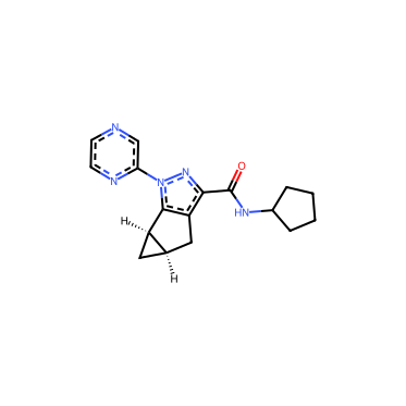 O=C(NC1CCCC1)c1nn(-c2cnccn2)c2c1C[C@H]1C[C@@H]21